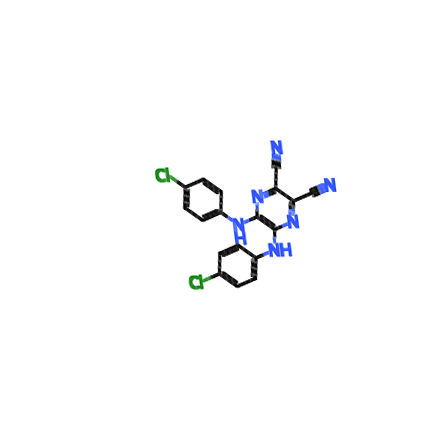 N#Cc1nc(Nc2ccc(Cl)cc2)c(Nc2ccc(Cl)cc2)nc1C#N